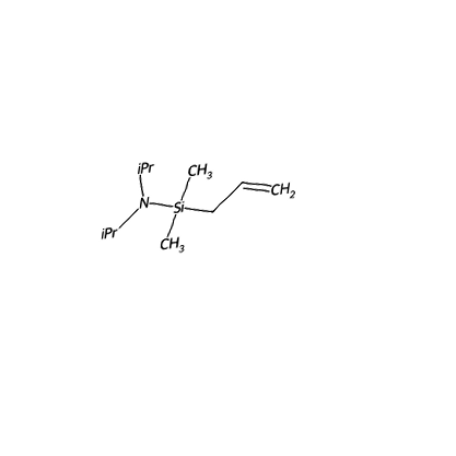 C=CC[Si](C)(C)N(C(C)C)C(C)C